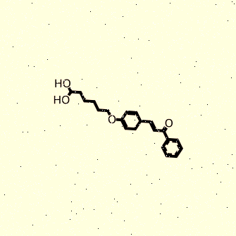 O=C(C=CC1C=CC(OCCCCCC(O)O)=CC1)c1ccccc1